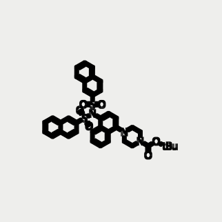 CC(C)(C)OC(=O)N1CCN(c2ccc(N(S(=O)(=O)c3ccc4ccccc4c3)S(=O)(=O)c3ccc4ccccc4c3)c3ccccc23)CC1